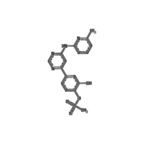 CS(=O)(=O)Oc1ccc(-c2cc(Nc3cccc(C(F)(F)F)n3)ncn2)cc1O